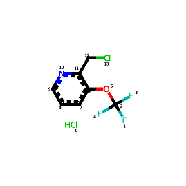 Cl.FC(F)(F)Oc1cccnc1CCl